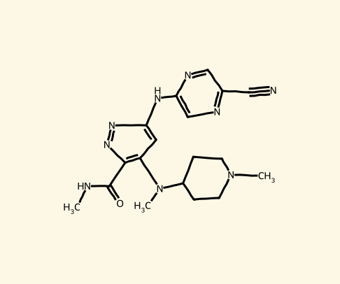 CNC(=O)c1nnc(Nc2cnc(C#N)cn2)cc1N(C)C1CCN(C)CC1